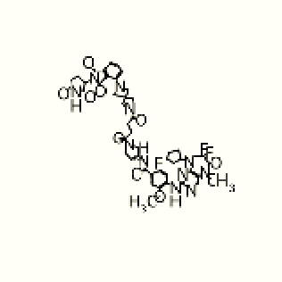 COc1cc(C(=O)N[C@H]2CCN(C(=O)CCC(=O)N3CC4(C3)CN(c3cccc5c3C(=O)N(C3CCC(=O)NC3=O)C5=O)C4)C2)c(F)cc1Nc1ncc2c(n1)N(C1CCCC1)CC(F)(F)C(=O)N2C